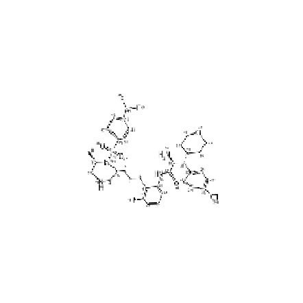 C[C@@H]1CNC[C@H](CCCc2c(F)cccc2NC(=O)[C@@H](N)[C@@H](c2ccc(Cl)cc2)C2CCOCC2)N1S(=O)(=O)c1ccc(C(F)F)cc1